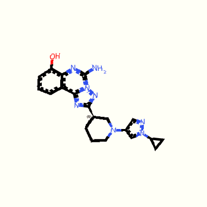 Nc1nc2c(O)cccc2c2nc([C@@H]3CCCN(c4cnn(C5CC5)c4)C3)nn12